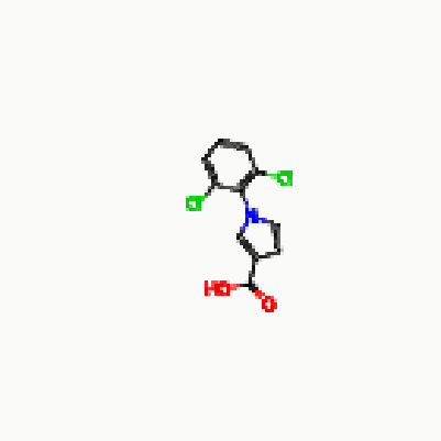 O=C(O)c1ccn(-c2c(Cl)cccc2Cl)c1